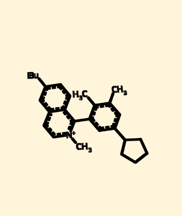 CCC(C)c1ccc2c(-c3cc(C4CCCC4)cc(C)c3C)[n+](C)ccc2c1